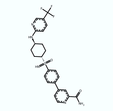 N=S(=O)(c1ccc(-c2ccnc(C(N)=O)c2)cc1)[C@H]1CC[C@H](Nc2ccc(C(F)(F)F)cn2)CC1